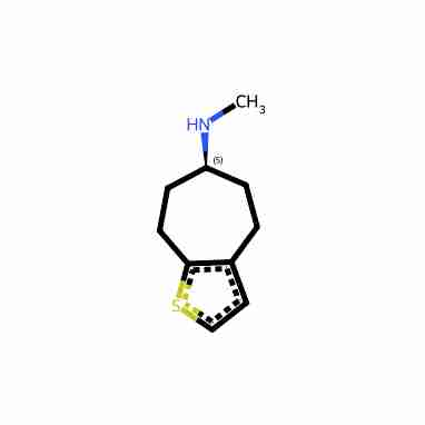 CN[C@H]1CCc2ccsc2CC1